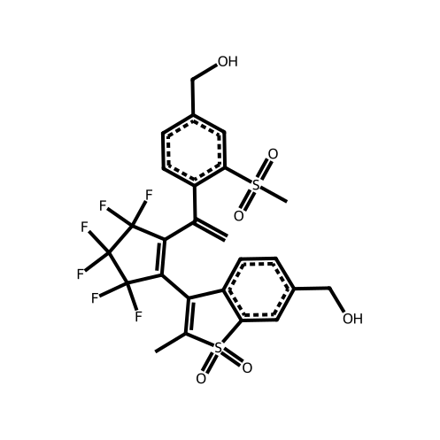 C=C(C1=C(C2=C(C)S(=O)(=O)c3cc(CO)ccc32)C(F)(F)C(F)(F)C1(F)F)c1ccc(CO)cc1S(C)(=O)=O